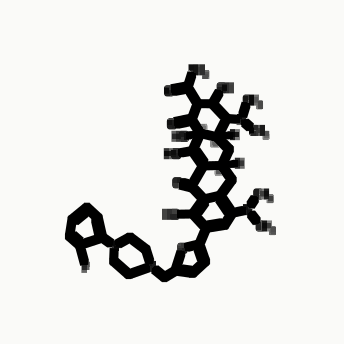 CN(C)c1cc(-c2ccc(CN3CCN(c4ccccc4F)CC3)o2)c(O)c2c1C[C@H]1C[C@H]3C(N(C)C)C(O)C(C(N)=O)C(=O)[C@@]3(O)C(O)=C1C2=O